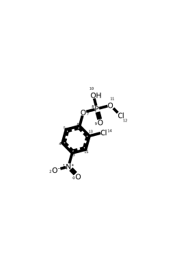 O=[N+]([O-])c1ccc(OP(=O)(O)OCl)c(Cl)c1